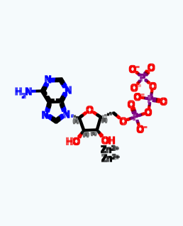 Nc1ncnc2c1ncn2[C@@H]1O[C@H](COP(=O)([O-])OP(=O)([O-])OP(=O)([O-])[O-])[C@@H](O)[C@H]1O.[Zn+2].[Zn+2]